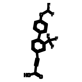 O=C(O)C#Cc1ccc(-c2ccc(OC(F)F)cc2)c(C(F)(F)F)c1